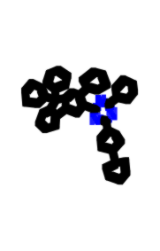 c1ccc(-c2ccc(-c3nc(-c4ccccc4)nc(-c4cc5c(cc4-c4ccccc4)C(c4ccccc4)(c4ccccc4)c4ccccc4-5)n3)cc2)cc1